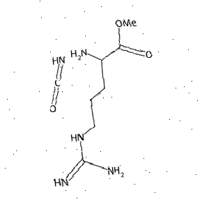 COC(=O)C(N)CCCNC(=N)N.N=C=O